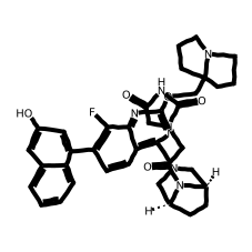 O=C1CN(CC(=O)N2[C@@H]3CC[C@H]2CN(c2nc(OCC45CCCN4CCC5)nc4c(F)c(-c5cc(O)cc6ccccc56)ccc24)C3)C(=O)N1